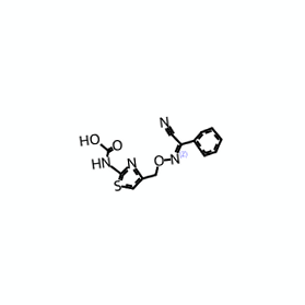 N#C/C(=N\OCc1csc(NC(=O)O)n1)c1ccccc1